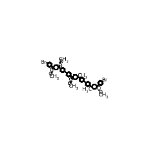 COCOC1(c2ccc(Br)cc2)CCC(C)(c2ccc(-c3ccc(C4(C)CCC(OCOC)(c5ccc(-c6ccc(C7(OCOC)CCC(OCOC)(c8ccc(Br)cc8)CC7)cc6)cc5)CC4)cc3)cc2)CC1